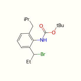 CCC(Br)c1cccc(CC(C)C)c1NC(=O)OC(C)(C)C